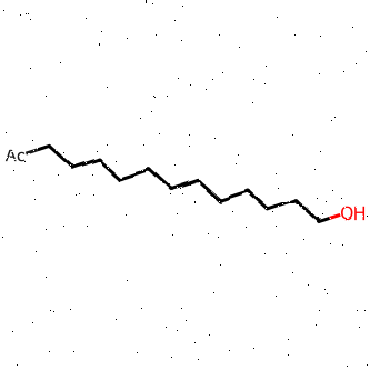 CC(=O)CCCCCCCCCCCCO